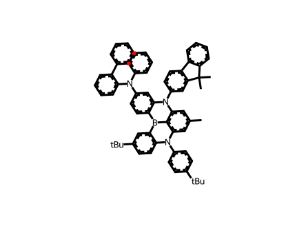 Cc1cc2c3c(c1)N(c1ccc4c(c1)C(C)(C)c1ccccc1-4)c1cc(N(c4ccccc4)c4ccccc4-c4ccccc4)ccc1B3c1cc(C(C)(C)C)ccc1N2c1ccc(C(C)(C)C)cc1